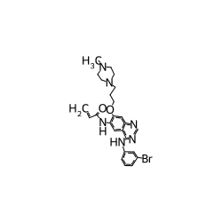 C=CC(=O)Nc1cc2c(Nc3cccc(Br)c3)ncnc2cc1OCCCN1CCN(C)CC1